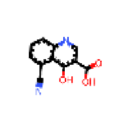 N#Cc1cccc2ncc(C(=O)O)c(O)c12